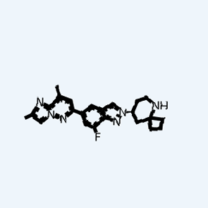 Cc1cn2nc(-c3cc(F)c4nn([C@H]5CCNC6(CCC6)C5)cc4c3)cc(C)c2n1